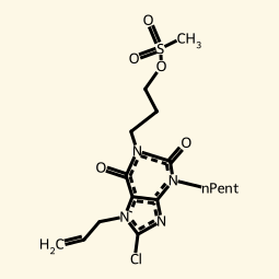 C=CCn1c(Cl)nc2c1c(=O)n(CCCOS(C)(=O)=O)c(=O)n2CCCCC